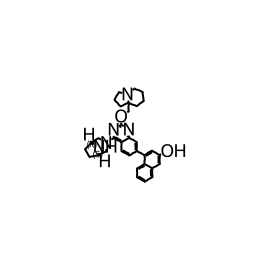 Oc1cc(-c2ccc3c(N4C[C@H]5CC[C@@H](C4)N5)nc(OCC45CCCCN4CCC5)nc3c2)c2ccccc2c1